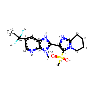 Cn1c(-c2nc3n(c2S(C)(=O)=O)CCCC3)nc2cc(C(F)(F)C(F)(F)F)cnc21